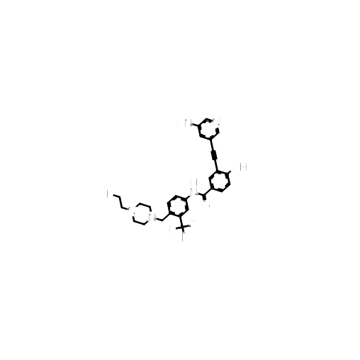 Cc1ccc(C(=O)Nc2ccc(CN3CCN(CCF)CC3)c(C(F)(F)F)c2)cc1C#Cc1cncc(N)c1